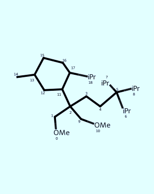 COCC(CCC(C(C)C)(C(C)C)C(C)C)(COC)C1CC(C)CCC1C(C)C